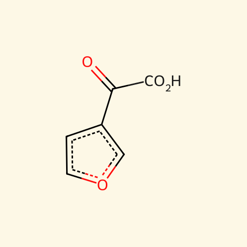 O=C(O)C(=O)c1ccoc1